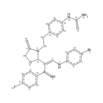 N=C(/C(=C\Nc1ccc(Br)cc1)C1OCC(=O)N1CCc1ccc(NC(N)=O)cc1)c1ccc(F)cc1